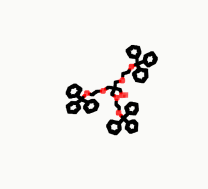 OCC(COCCOC(c1ccccc1)(c1ccccc1)c1ccccc1)(COCCOC(c1ccccc1)(c1ccccc1)c1ccccc1)COCCOC(c1ccccc1)(c1ccccc1)c1ccccc1